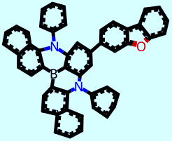 c1ccc(N2c3cc(-c4ccc5c(c4)oc4ccccc45)cc4c3B(c3ccc5ccccc5c32)c2ccc3ccccc3c2N4c2ccccc2)cc1